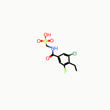 CCc1c(F)cc(C(=O)NCS(=O)(=O)O)cc1Cl